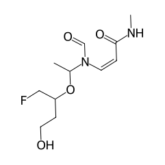 CNC(=O)/C=C\N(C=O)C(C)OC(CF)CCO